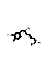 CC(=O)[C@@H](C/C=C/C[C@H](Cc1ccc(C)c(O)c1)C(C)C)C(C)C